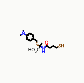 CN(C)c1ccc(CSC(C)(NC(=O)CCCS)C(=O)O)cc1